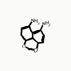 NC1=CCC2OCOC3C=CC(N)=C1C32